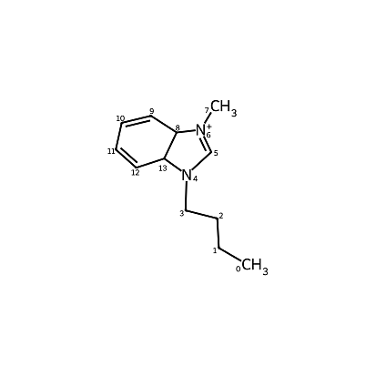 CCCCN1C=[N+](C)C2C=CC=CC21